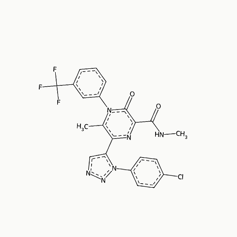 CNC(=O)c1nc(-c2cnnn2-c2ccc(Cl)cc2)c(C)n(-c2cccc(C(F)(F)F)c2)c1=O